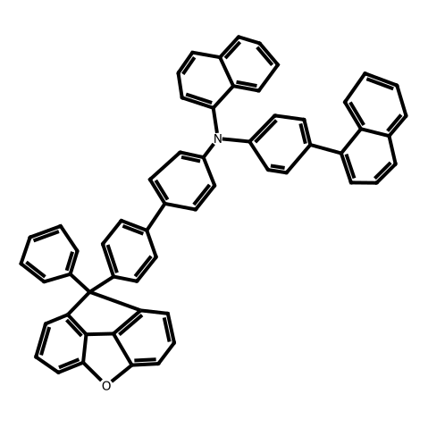 c1ccc(C2(c3ccc(-c4ccc(N(c5ccc(-c6cccc7ccccc67)cc5)c5cccc6ccccc56)cc4)cc3)c3cccc4oc5cccc2c5c34)cc1